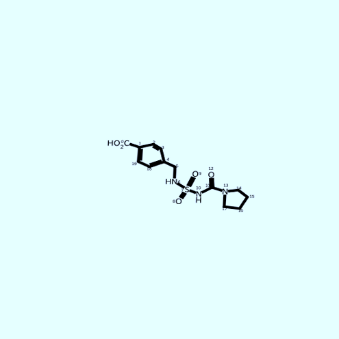 O=C(O)c1ccc(CNS(=O)(=O)NC(=O)N2CCCC2)cc1